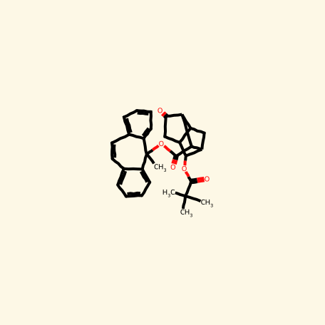 CC(C)(C)C(=O)OC1C2CC(=O)C3C2CC1C3C(=O)OC1(C)c2ccccc2C=Cc2ccccc21